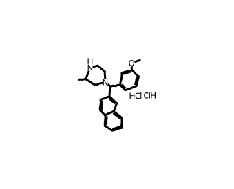 COc1cccc(C(c2ccc3ccccc3c2)N2CCNC(C)C2)c1.Cl.Cl